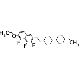 CCOc1ccc2cc(CCC3CCC(C4CCC(CC)CC4)CC3)c(F)c(F)c2c1F